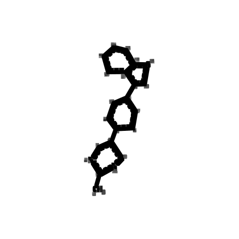 Cc1ncc(-c2ccc(-c3csc4ccccc34)cc2)cn1